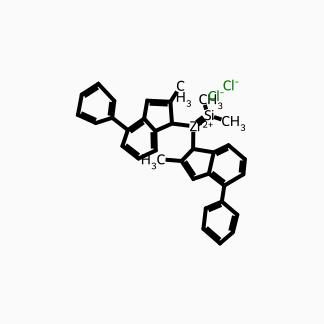 CC1=Cc2c(-c3ccccc3)cccc2[CH]1[Zr+2]([CH]1C(C)=Cc2c(-c3ccccc3)cccc21)=[Si](C)C.[Cl-].[Cl-]